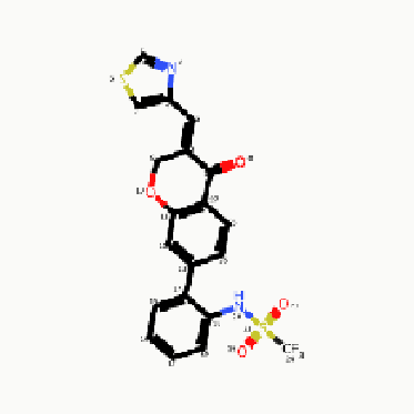 O=C1/C(=C/c2cscn2)COc2cc(-c3ccccc3NS(=O)(=O)C(F)(F)F)ccc21